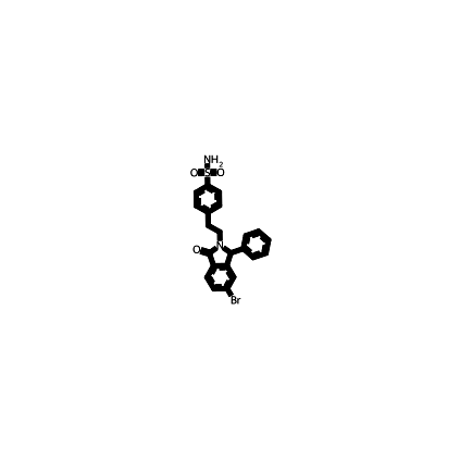 NS(=O)(=O)c1ccc(CCN2C(=O)c3ccc(Br)cc3C2c2ccccc2)cc1